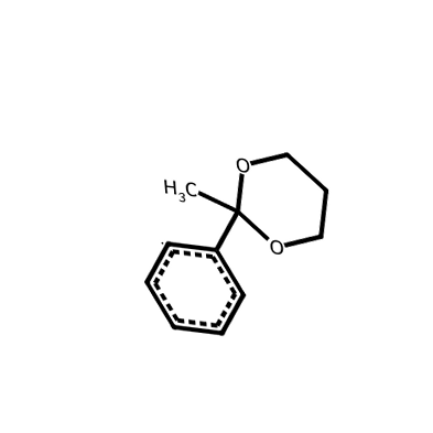 CC1(c2[c]cccc2)OCCCO1